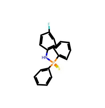 Fc1ccc(NP(=S)(c2ccccc2)c2ccccc2)cc1